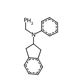 PCN(c1ccccc1)C1Cc2ccccc2C1